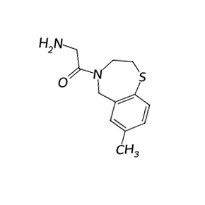 Cc1ccc2c(c1)CN(C(=O)CN)CCS2